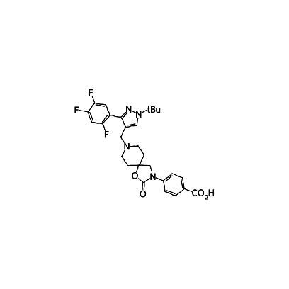 CC(C)(C)n1cc(CN2CCC3(CC2)CN(c2ccc(C(=O)O)cc2)C(=O)O3)c(-c2cc(F)c(F)cc2F)n1